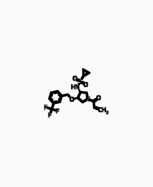 C=CC(=O)N1C[C@@H](NS(=O)(=O)C2CC2)[C@H](OCc2cccc(C(F)(F)F)c2)C1